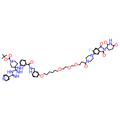 C[C@@H](NC(=O)c1cccc(NC2(C(=N)NC(=N)c3ccncc3)CCN(C(=O)OC(C)(C)C)CC2)c1)c1cccc(OCCCCCCOCCOCCOCCC(=O)N2CCN(c3cc4c(cc3F)C(=O)N(C3CCC(=O)NC3=O)C4=O)CC2)c1